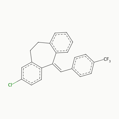 FC(F)(F)c1ccc(/C=C2\c3ccccc3CCc3cc(Cl)ccc32)cc1